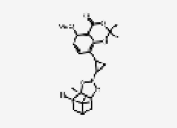 COc1ccc(C2CC2B2OC3CC4C[C@@H](C4(C)C)[C@]3(C)O2)c2c1C(=O)OC(C)(C)O2